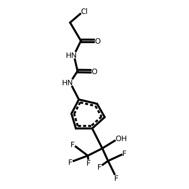 O=C(CCl)NC(=O)Nc1ccc(C(O)(C(F)(F)F)C(F)(F)F)cc1